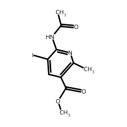 COC(=O)c1cc(I)c(NC(C)=O)nc1C